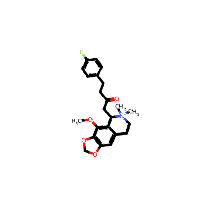 COc1c2c(cc3c1C(CC(=O)CCc1ccc(F)cc1)[N+](C)(C)CC3)OCO2